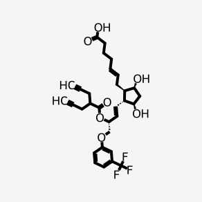 C#CCC(CC#C)C(=O)O[C@H](/C=C/[C@@H]1[C@@H](C/C=C/CCCC(=O)O)[C@@H](O)C[C@H]1O)COc1cccc(C(F)(F)F)c1